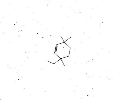 CC1(CO)C=CC(C)(C(C)(C)C)CC1